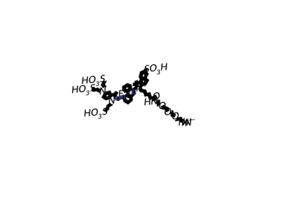 C=c1/c(=C\C=C2/CCCC(/C=C/C3=[N+](CCCCCC(=O)NCCOCCOCCOCCN=[N+]=[N-])c4ccc5cc(S(=O)(=O)O)ccc5c4C3(C)C)=C2c2ccccc2F)n(CCCS(=O)(=O)O)c2ccc(N(CCCS(=O)(=O)O)CCCS(=O)(=O)O)cc12